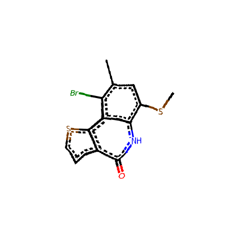 CSc1cc(C)c(Br)c2c1[nH]c(=O)c1ccsc12